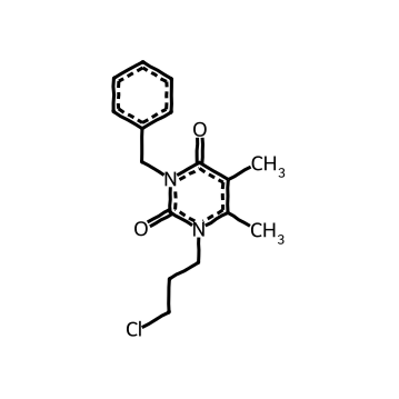 Cc1c(C)n(CCCCl)c(=O)n(Cc2ccccc2)c1=O